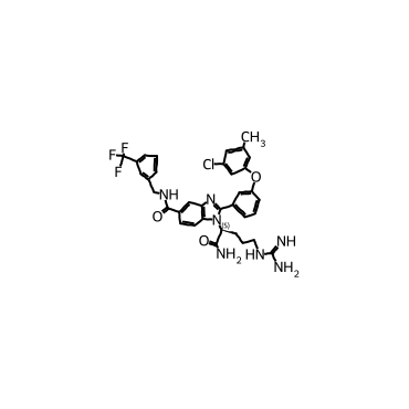 Cc1cc(Cl)cc(Oc2cccc(-c3nc4cc(C(=O)NCc5cccc(C(F)(F)F)c5)ccc4n3[C@@H](CCCNC(=N)N)C(N)=O)c2)c1